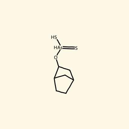 S=[AsH](S)OC1CC2CCC1C2